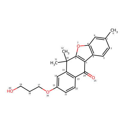 Cc1ccc2c3c(oc2c1)C(C)(C)c1cc(OCCCO)ccc1C3=O